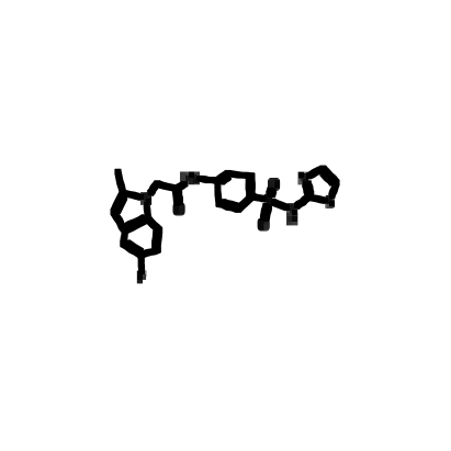 Cc1cc2cc(F)ccc2n1CC(=O)Nc1ccc(S(=O)(=O)Nc2nccs2)cc1